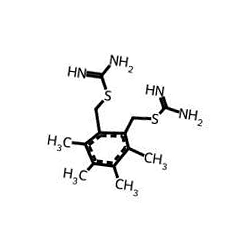 Cc1c(C)c(C)c(CSC(=N)N)c(CSC(=N)N)c1C